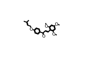 COc1cc(OC)c(/C=C/C(=O)c2ccc(OCC=C(C)C)cc2)c(OC)c1